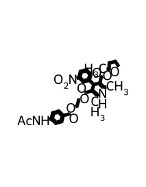 CC(=O)Nc1ccc(C(=O)OCCOC(=O)C2=C(C)NC(C)=C(C(=O)OC3(C)CCCO3)C2c2cccc([N+](=O)[O-])c2)cc1